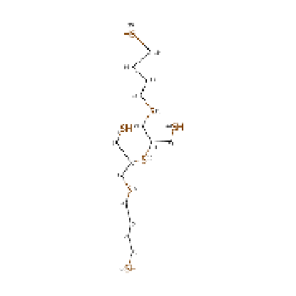 SCCCCSCC(CS)SC(CS)CSCCCCS